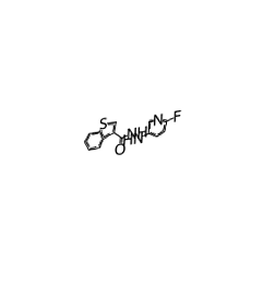 O=C(NNc1ccc(F)nc1)c1csc2ccccc12